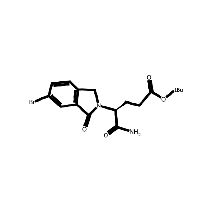 CC(C)(C)OC(=O)CC[C@@H](C(N)=O)N1Cc2ccc(Br)cc2C1=O